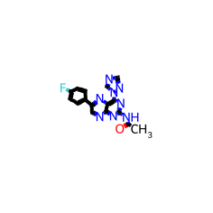 CC(=O)Nc1nc(-n2cncn2)c2nc(-c3ccc(F)cc3)cnc2n1